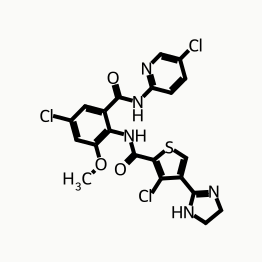 COc1cc(Cl)cc(C(=O)Nc2ccc(Cl)cn2)c1NC(=O)c1scc(C2=NCCN2)c1Cl